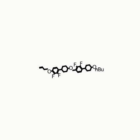 C=CCCOc1ccc(C2CCC(OCc3ccc(C4CCC(OCCCC)CC4)c(F)c3F)CC2)c(F)c1F